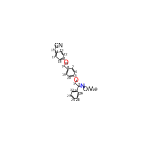 CON=C(COc1ccc(COc2ccc(CC#N)cc2)cc1)c1ccccc1